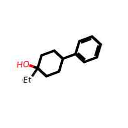 C[CH]C1(O)CCC(c2ccccc2)CC1